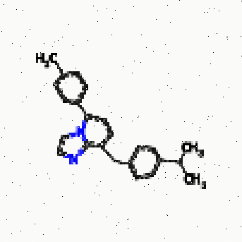 Cc1ccc(-c2ccc(Cc3ccc(C(C)C)cc3)c3nccn23)cc1